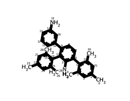 Cc1cc(C)c(-c2ccc(-c3cccc(N)c3)c(-c3c(C)cc(C)cc3C)c2N)c(C)c1